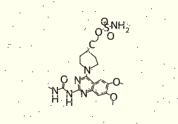 CNC(=O)Nc1nc(N2CCC(CCOS(N)(=O)=O)CC2)c2cc(OC)c(OC)cc2n1